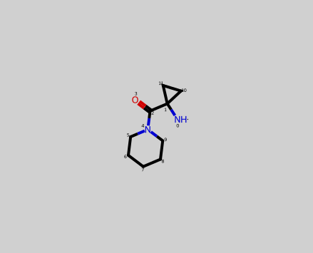 [NH]C1(C(=O)N2CCCCC2)CC1